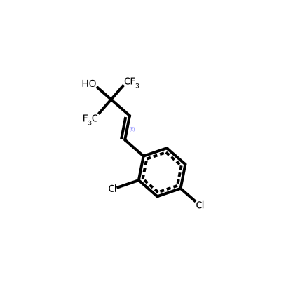 OC(/C=C/c1ccc(Cl)cc1Cl)(C(F)(F)F)C(F)(F)F